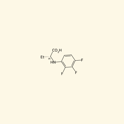 CC[C@@H](Nc1ccc(F)c(F)c1F)C(=O)O